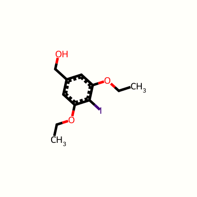 CCOc1cc(CO)cc(OCC)c1I